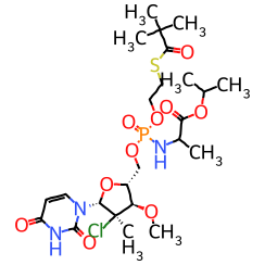 CO[C@@H]1[C@@H](COP(=O)(NC(C)C(=O)OC(C)C)OCCSC(=O)C(C)(C)C)O[C@@H](n2ccc(=O)[nH]c2=O)[C@]1(C)Cl